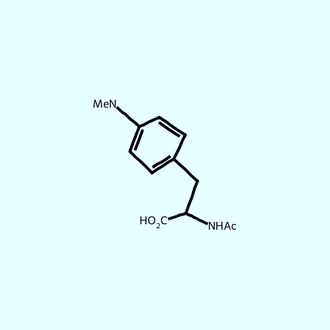 CNc1ccc(CC(NC(C)=O)C(=O)O)cc1